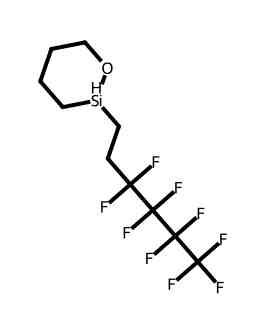 FC(F)(F)C(F)(F)C(F)(F)C(F)(F)CC[SiH]1CCCCO1